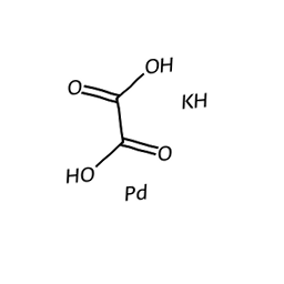 O=C(O)C(=O)O.[KH].[Pd]